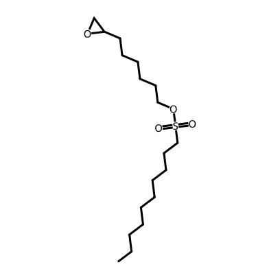 CCCCCCCCCCS(=O)(=O)OCCCCCCC1CO1